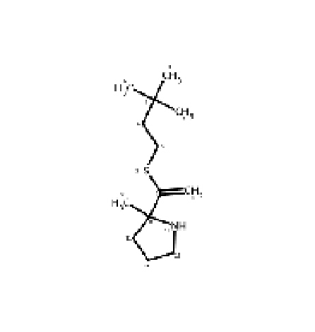 C=C(SCCC(C)(C)C)C1(C)CCCN1